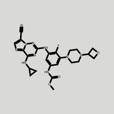 COC(=O)Nc1cc(Nc2nc(NC3CC3)c3ncc(C#N)n3n2)c(F)c(N2CCN(C3COC3)CC2)c1